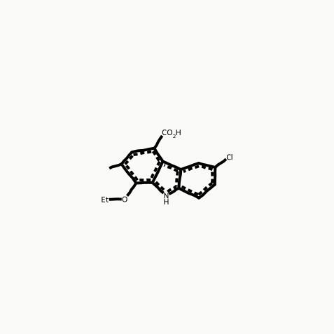 CCOc1c(C)cc(C(=O)O)c2c1[nH]c1ccc(Cl)cc12